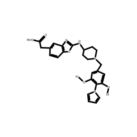 CCOc1cc(CN2CCC(Nc3nc4cc(CC(=O)OC)ccc4o3)CC2)cc(OCC)c1-n1cccc1